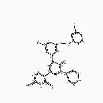 Cc1cccc(COc2cc(Cl)cc(-c3cc(-c4c[nH]c(=O)[nH]c4=O)cn(-c4cccnc4)c3=O)c2)c1